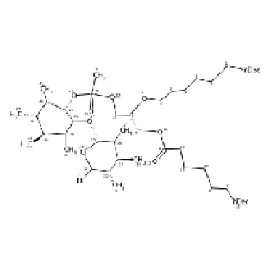 CCCCCCCCCCCCCCCCO[C@H](COC(=O)CCCCCCCCCCCCCCC)COP(C)(=O)O[C@@H]1C(O[C@H]2OC(CC)[C@@H](C)[C@H](C)C2C)C(C)[C@@H](C)[C@H](C)C1C